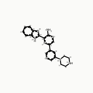 Nc1ncc(-c2cncc(N3CCNCC3)c2)nc1-c1nc2ccccc2[nH]1